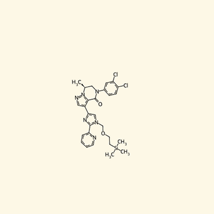 C[C@H]1CN(c2ccc(Cl)c(Cl)c2)C(=O)c2c(-c3cn(COCC[Si](C)(C)C)c(-c4ccccn4)n3)cnn21